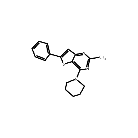 Cc1nc(N2CCCCC2)c2sc(-c3ccccc3)cc2n1